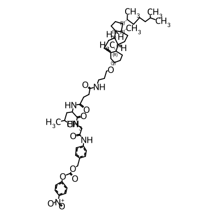 CC(C)CCCC(C)[C@H]1CC[C@H]2[C@@H]3CC=C4C[C@@H](OCCCNC(=O)CCC(=O)NC(CC(C)C)C(=O)NCC(=O)Nc5ccc(COC(=O)Oc6ccc([N+](=O)[O-])cc6)cc5)CC[C@]4(C)[C@H]3CC[C@]12C